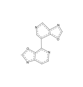 [c]1nc2ccnc(-c3cncc4ncoc34)c2o1